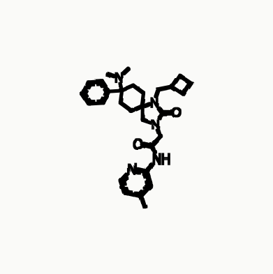 Cc1ccnc(NC(=O)CN2CC3(CCC(c4ccccc4)(N(C)C)CC3)N(CC3CCC3)C2=O)c1